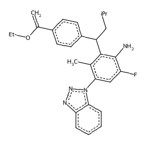 C=C(OCC)c1ccc(C(CC(C)C)c2c(C)c(-n3nnc4ccccc43)cc(F)c2N)cc1